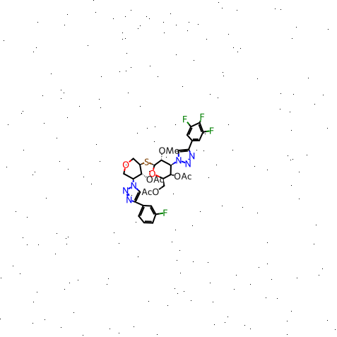 CO[C@@H]1[C@@H](n2cc(-c3cc(F)c(F)c(F)c3)nn2)[C@@H](OC(C)=O)[C@@H](COC(C)=O)O[C@H]1S[C@@H]1COC[C@H](n2cc(-c3cccc(F)c3)nn2)[C@H]1OC(C)=O